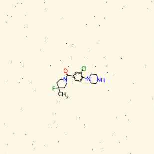 CC1(F)CCN(C(=O)c2ccc(N3CCNCC3)c(Cl)c2)CC1